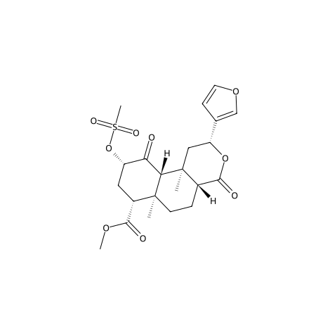 COC(=O)[C@@H]1C[C@H](OS(C)(=O)=O)C(=O)[C@H]2[C@@]1(C)CC[C@H]1C(=O)O[C@@H](c3ccoc3)C[C@]21C